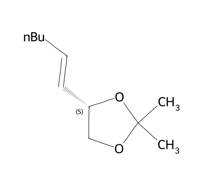 CCCCC=C[C@H]1COC(C)(C)O1